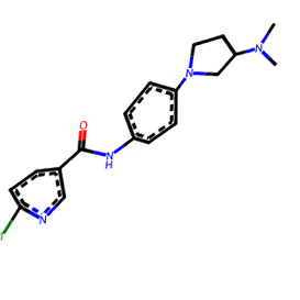 CN(C)C1CCN(c2ccc(NC(=O)c3ccc(Cl)nc3)cc2)C1